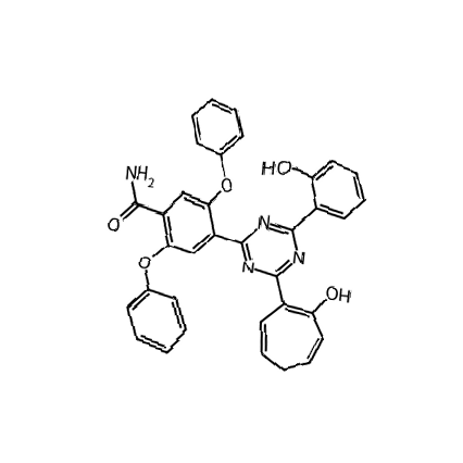 NC(=O)c1cc(Oc2ccccc2)c(-c2nc(C3=C(O)C=CCC=C3)nc(-c3ccccc3O)n2)cc1Oc1ccccc1